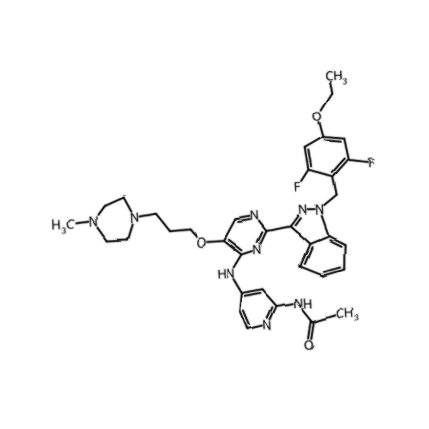 CCOc1cc(F)c(Cn2nc(-c3ncc(OCCCN4CCN(C)CC4)c(Nc4ccnc(NC(C)=O)c4)n3)c3ccccc32)c(F)c1